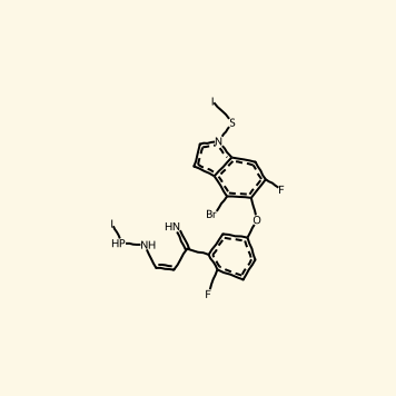 N=C(/C=C\NPI)c1cc(Oc2c(F)cc3c(ccn3SI)c2Br)ccc1F